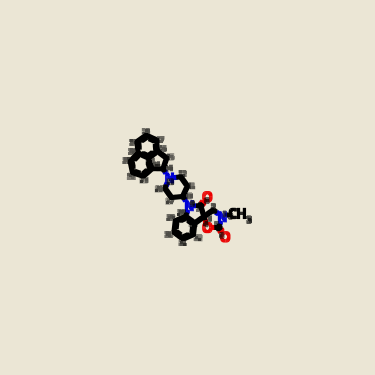 CN1CC2(OC1=O)C(=O)N(C1CCN(C3Cc4cccc5cccc3c45)CC1)c1ccccc12